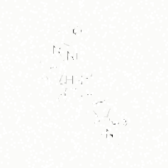 Cc1cc(C)c(-c2nc3c([nH]2)COCC3)cc1C(=O)C1CC(c2ccc(C(=O)N(C)C)cc2)CCN1